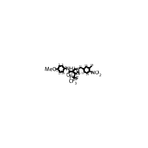 COc1ccc(NC(=O)c2cn(Cc3ccc([N+](=O)[O-])c(C)c3)nc2C(F)(F)C(F)(F)F)cc1